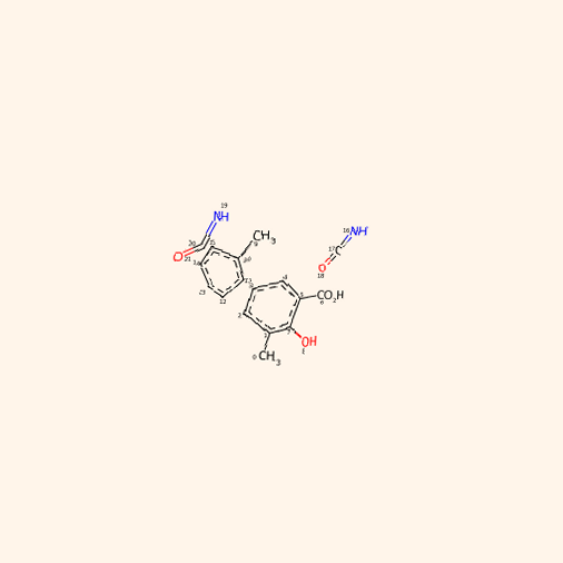 Cc1cccc(C(=O)O)c1O.Cc1ccccc1.N=C=O.N=C=O